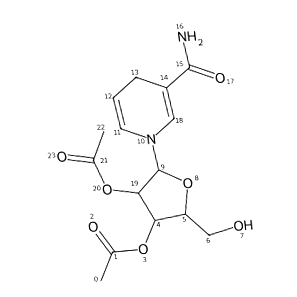 CC(=O)OC1C(CO)OC(N2C=CCC(C(N)=O)=C2)C1OC(C)=O